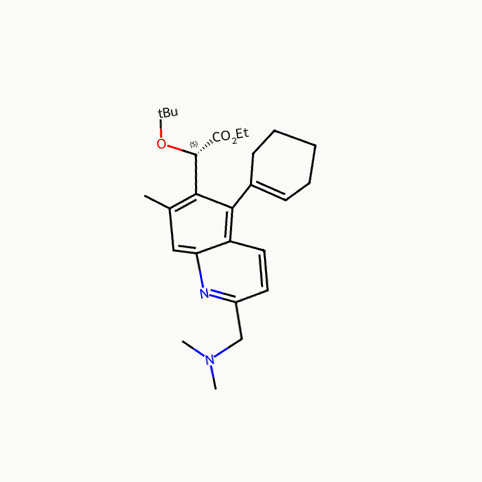 CCOC(=O)[C@@H](OC(C)(C)C)c1c(C)cc2nc(CN(C)C)ccc2c1C1=CCCCC1